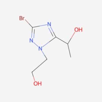 CC(O)c1nc(Br)nn1CCO